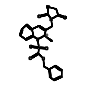 C[C@@H]1C(CN2C(=O)COC2=O)=Cc2ccccc2N1S(=O)(=O)C(=O)OCc1ccccc1